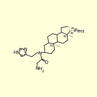 CCC[C@@H](C)[C@H]1CCC2C3CCC4CC(N(CCc5c[nH]cn5)C(=O)CN)CC[C@]4(C)C3CC[C@@]21C